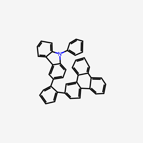 c1ccc(-n2c3ccccc3c3cc(-c4ccccc4-c4ccc5c6ccccc6c6ccccc6c5c4)ccc32)cc1